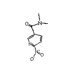 CN(C)C(=O)c1ccc([N+](=O)[O-])nc1